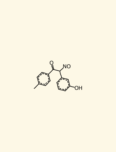 Cc1ccc(C(=O)C(N=O)c2cccc(O)c2)cc1